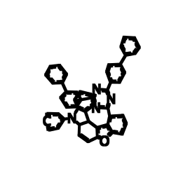 C1=CC2C(c3ccccc3N2c2ccccc2)c2c1oc1cccc(-c3nc(-c4ccc(-c5ccccc5)cc4)nc(-c4cccc(-c5ccccc5)c4)n3)c21